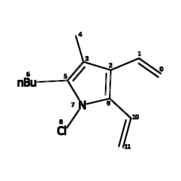 C=Cc1c(C)c(CCCC)n(Cl)c1C=C